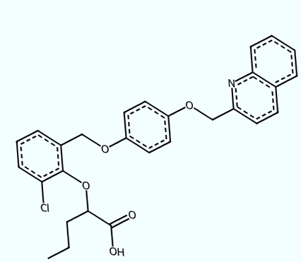 CCCC(Oc1c(Cl)cccc1COc1ccc(OCc2ccc3ccccc3n2)cc1)C(=O)O